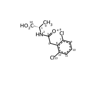 C[C@H](NC(=O)Cc1c(Cl)cccc1Cl)C(=O)O